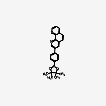 CC1(C)OB(c2ccc(-c3cnc4c(ccc5cccnc54)c3)cc2)OC1(C)C